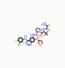 CN[C@@H](C)C(=O)N[C@H](C(=O)N1CCC[C@H]1C(=O)Nc1cc2c(Nc3ccc(F)c(Cl)c3F)ncnc2cc1O[C@@H]1CCOC1)C(C)(C)C